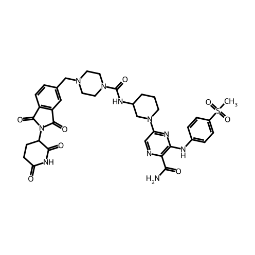 CS(=O)(=O)c1ccc(Nc2nc(N3CCCC(NC(=O)N4CCN(Cc5ccc6c(c5)C(=O)N(C5CCC(=O)NC5=O)C6=O)CC4)C3)cnc2C(N)=O)cc1